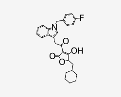 O=C(Cc1cn(Cc2ccc(F)cc2)c2ccccc12)C1=C(O)C(CC2CCCCC2)OC1=O